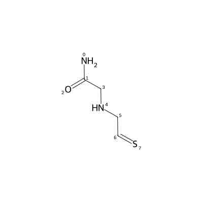 NC(=O)CNCC=S